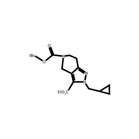 CCOC(=O)c1c2c(nn1CC1CC1)CCN(C(=O)OC(C)(C)C)C2